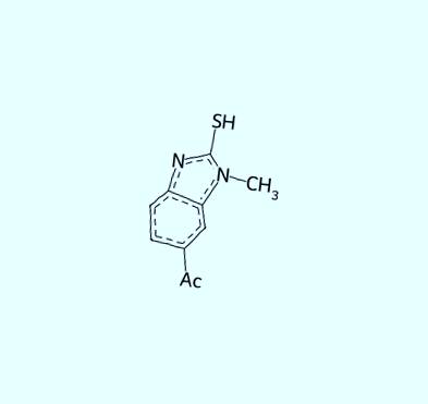 CC(=O)c1ccc2nc(S)n(C)c2c1